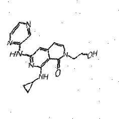 O=c1c2c(NC3CC3)nc(Nc3cnccn3)cc2ccn1CCO